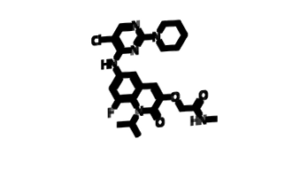 CNC(=O)COc1cc2cc(Nc3nc(N4CCCCC4)ncc3Cl)cc(F)c2n(C(C)C)c1=O